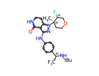 CC(C)(C)N[C@H](c1ccc(Nc2nn([C@]3(C)CCOC[C@@H]3F)c3cc[nH]c(=O)c23)cc1)C(F)(F)F